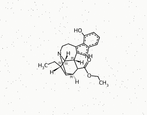 CCOC(=O)C1[C@H]2C[C@H](CC)[C@H]3[C@@H]1c1[nH]c4cccc(O)c4c1CCN3C2